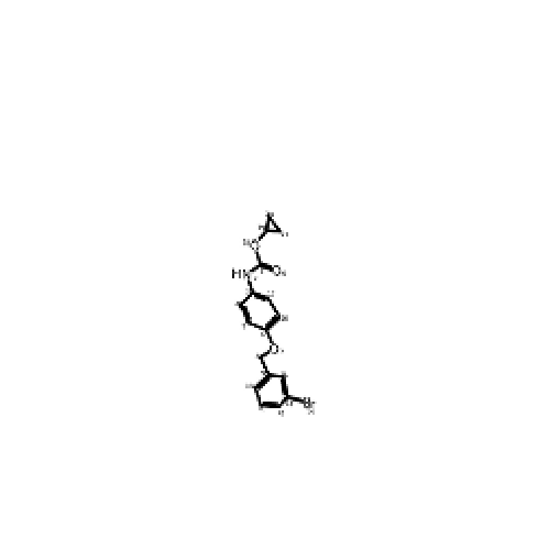 O=C(Nc1ccc(OCc2cccc(Br)c2)cc1)OC1CC1